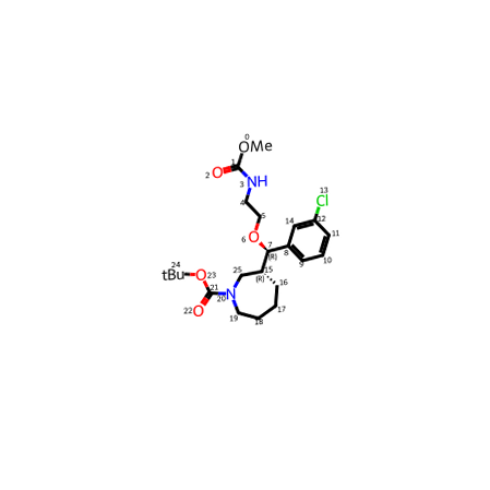 COC(=O)NCCO[C@@H](c1cccc(Cl)c1)[C@@H]1CCCCN(C(=O)OC(C)(C)C)C1